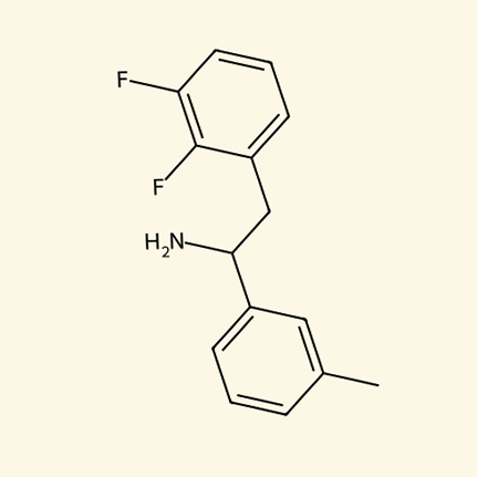 Cc1cccc(C(N)Cc2cccc(F)c2F)c1